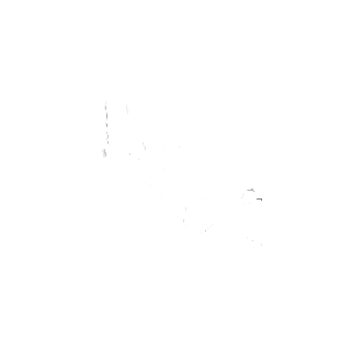 CCC(C)(C)C1(F)C(F)(F)C(F)(F)C1(F)Oc1ccc(-c2ccc(C(C)(C)C)c(O)c2)cc1O